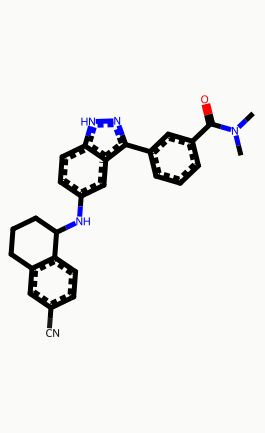 CN(C)C(=O)c1cccc(-c2n[nH]c3ccc(NC4CCCc5cc(C#N)ccc54)cc23)c1